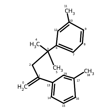 C=C(CC(C)(C)c1cccc(C)c1)c1cccc(C)c1